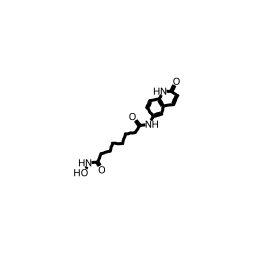 O=C(CCCCCCC(=O)Nc1ccc2[nH]c(=O)ccc2c1)NO